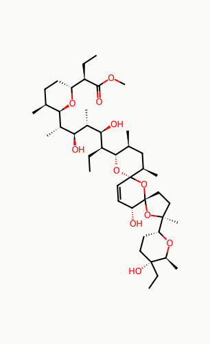 CC[C@@H]([C@H](O)[C@@H](C)[C@@H](O)[C@H](C)[C@@H]1O[C@@H]([C@@H](CC)C(=O)OC)CC[C@@H]1C)[C@H]1O[C@]2(C=C[C@@H](O)[C@]3(CC[C@@](C)([C@H]4CC[C@](O)(CC)[C@H](C)O4)O3)O2)[C@H](C)C[C@@H]1C